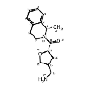 C[C@H]1c2ccccc2CCN1C(=O)[C@@H]1CC(CN)CO1